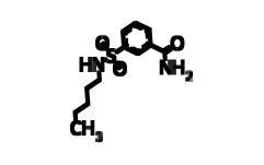 CCCCCNS(=O)(=O)c1cccc(C(N)=O)c1